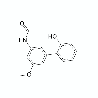 COc1cc(NC=O)cc(-c2cc[c]cc2O)c1